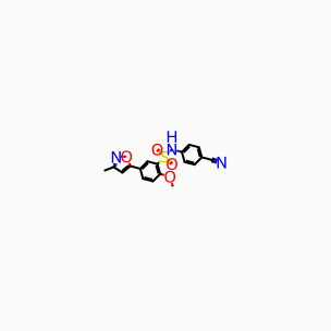 COc1ccc(-c2cc(C)no2)cc1S(=O)(=O)Nc1ccc(C#N)cc1